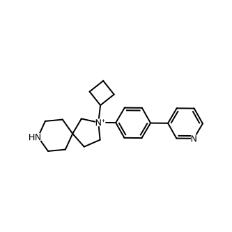 c1cncc(-c2ccc([N+]3(C4CCC4)CCC4(CCNCC4)C3)cc2)c1